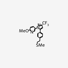 COc1ccc(-n2nc(C(F)(F)F)cc2-c2ccc(CCSC)cc2)cn1